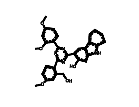 COc1ccc(-c2nc(-c3cc4c(cc3O)[nH]c3ccccc34)nc(-c3ccc(OC)cc3OC)n2)c(CO)c1